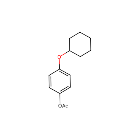 CC(=O)Oc1ccc(OC2CCCCC2)cc1